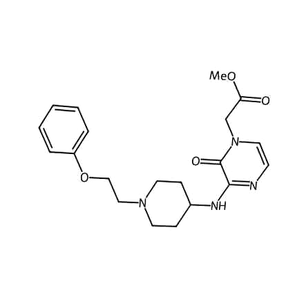 COC(=O)Cn1ccnc(NC2CCN(CCOc3ccccc3)CC2)c1=O